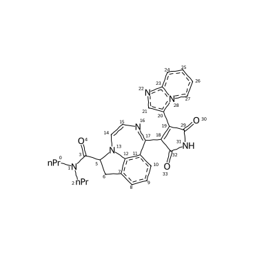 CCCN(CCC)C(=O)C1Cc2cccc3c2N1C=CN=C3C1=C(c2cnc3ccccn23)C(=O)NC1=O